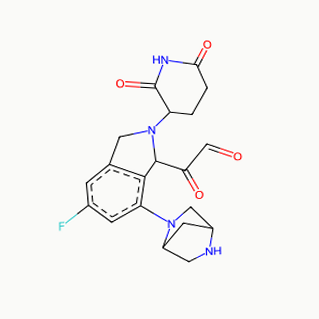 O=CC(=O)C1c2c(cc(F)cc2N2CC3CC2CN3)CN1C1CCC(=O)NC1=O